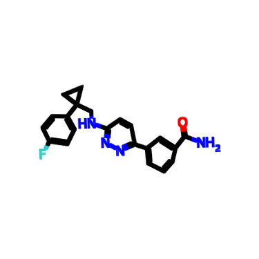 NC(=O)c1cccc(-c2ccc(NCC3(c4ccc(F)cc4)CC3)nn2)c1